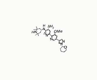 COc1cc(-c2cnn(C3CCCCO3)c2)cnc1-c1cc(N)c(NC2CC(C)(C)NC(C)(C)C2)nn1